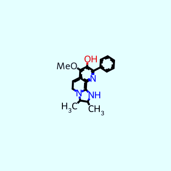 COc1c(O)c(-c2ccccc2)nc2c1=CCN1C=2NC(C)C1C